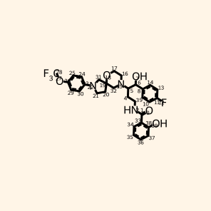 O=C(NCCC(C(O)c1ccc(F)cc1)N1CCOC2(CCN(c3ccc(OC(F)(F)F)cc3)C2)C1)c1ccccc1O